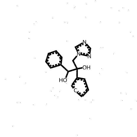 OC(c1ccccc1)C(O)(Cn1cncn1)c1ccccc1